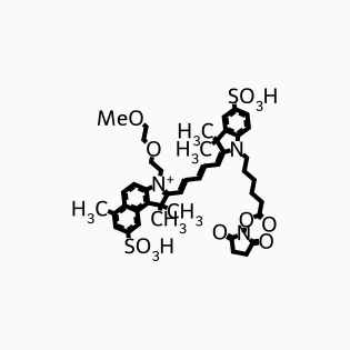 COCCOCC[N+]1=C(/C=C/C=C/C=C2/N(CCCCCC(=O)ON3C(=O)CCC3=O)c3ccc(S(=O)(=O)O)cc3C2(C)C)C(C)(C)c2c1ccc1c(C)cc(S(=O)(=O)O)cc21